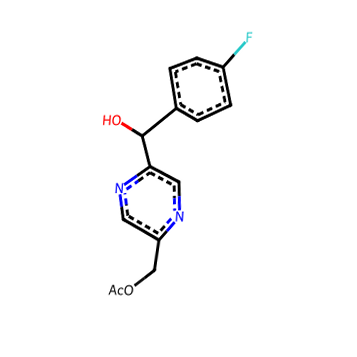 CC(=O)OCc1cnc(C(O)c2ccc(F)cc2)cn1